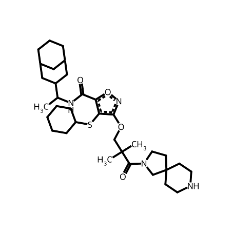 CC(NC(=O)c1onc(OCC(C)(C)C(=O)N2CCC3(CCNCC3)C2)c1SC1CCCCC1)C1CC2CCCC(C2)C1